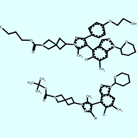 CCCCOC(=O)N1CC2(CC(n3nc(-c4ccc(OCCO)cc4)c(-c4c(Cl)c(C)cc5c4cnn5C4CCCCO4)c3C)C2)C1.Cc1cc2c(cnn2C2CCCCO2)c(-c2c(Br)nn(C3CC4(C3)CN(C(=O)OC(C)(C)C)C4)c2C)c1Cl